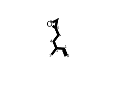 C=CC(C)CCC1CO1